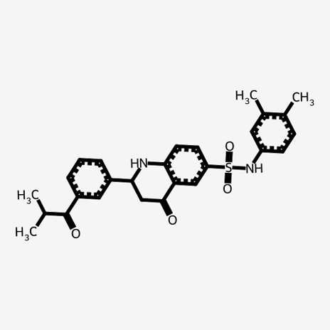 Cc1ccc(NS(=O)(=O)c2ccc3c(c2)C(=O)CC(c2cccc(C(=O)C(C)C)c2)N3)cc1C